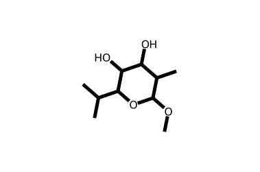 COC1OC(C(C)C)C(O)C(O)C1C